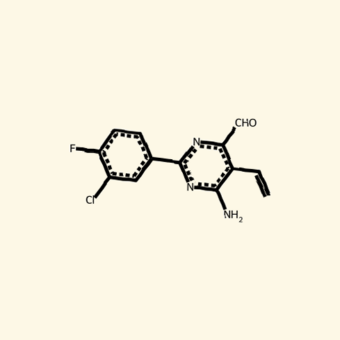 C=Cc1c(N)nc(-c2ccc(F)c(Cl)c2)nc1C=O